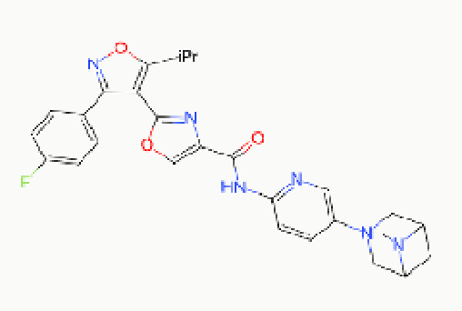 CC(C)c1onc(-c2ccc(F)cc2)c1-c1nc(C(=O)Nc2ccc(N3CC4CC(C3)N4C)cn2)co1